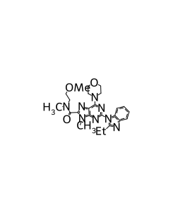 CCc1nc2ccccc2n1-c1nc(N2CCOCC2)c2nc(C(=O)N(C)CCOC)n(C)c2n1